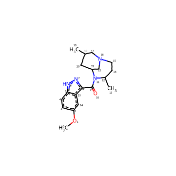 COc1ccc2[nH]nc(C(=O)N3C(C)CCN4CC(C)CC3C4)c2c1